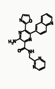 Nc1nc(-c2ncco2)c(-c2ccc3ncccc3c2)nc1C(=O)NCc1ncccn1